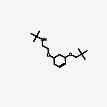 CC(C)(C)COC1C=CCC(OCCNC(C)(C)C)C1